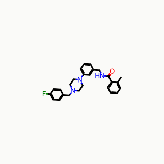 Cc1ccccc1C(=O)NCc1cccc(N2CCN(Cc3ccc(F)cc3)CC2)c1